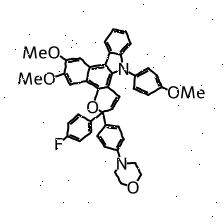 COc1ccc(-n2c3ccccc3c3c4cc(OC)c(OC)cc4c4c(c32)C=CC(c2ccc(F)cc2)(c2ccc(N3CCOCC3)cc2)O4)cc1